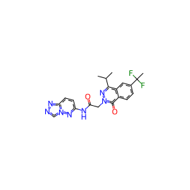 CC(C)c1nn(CC(=O)Nc2ccc3nncn3n2)c(=O)c2ccc(C(C)(F)F)cc12